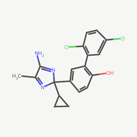 CC1=NC(c2ccc(O)c(-c3cc(Cl)ccc3Cl)c2)(C2CC2)N=C1N